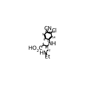 CCNC[C@H](CC(=O)O)Nc1ccc(C#N)c(Cl)c1